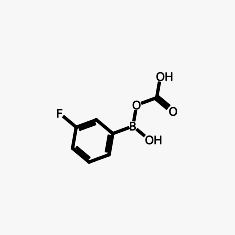 O=C(O)OB(O)c1cccc(F)c1